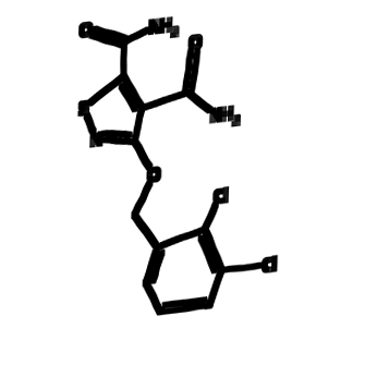 NC(=O)c1snc(OCc2cccc(Cl)c2Cl)c1C(N)=O